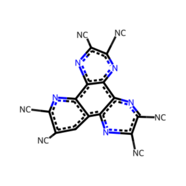 [C-]#[N+]c1nc2c(nc1C#N)c1nc(C#N)c(C#N)cc1c1nc([N+]#[C-])c([N+]#[C-])nc12